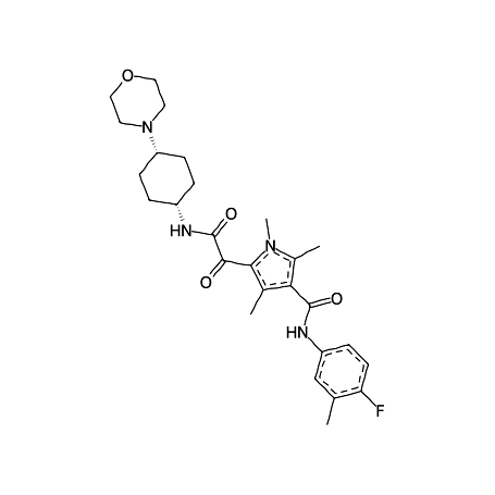 Cc1cc(NC(=O)c2c(C)c(C(=O)C(=O)N[C@H]3CC[C@@H](N4CCOCC4)CC3)n(C)c2C)ccc1F